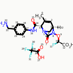 CC1=C[C@@H]2CN(C(=O)N2O[C@H](F)C(=O)O)[C@@H]1C(=O)Nc1ccc(CN)cc1.O=C(O)C(F)(F)F